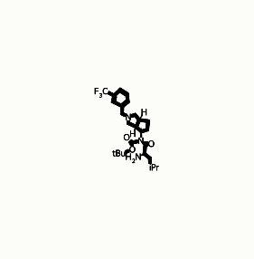 CC(C)C[C@H](N)C(=O)N(C(=O)OC(C)(C)C)[C@@H]1CC[C@@H]2CN(Cc3cccc(C(F)(F)F)c3)C[C@@H]21